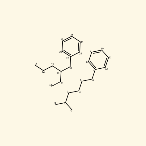 CC(C)CCCCc1ccccc1.CCCC(CC)Cc1ccccc1